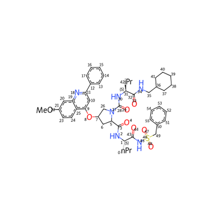 CCC[C@H](NC(=O)C1CC(Oc2cc(-c3ccccc3)nc3cc(OC)ccc23)CN1C(=O)N[C@H](C(=O)NCC1CCCCC1)C(C)C)C(=O)NS(=O)(=O)Cc1ccccc1